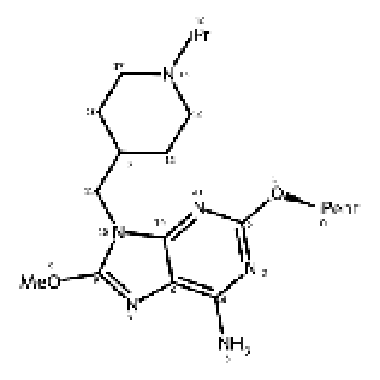 CCC[C@H](C)Oc1nc(N)c2nc(OC)n(CC3CCN(C(C)C)CC3)c2n1